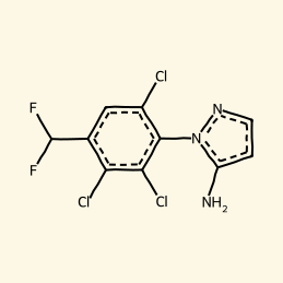 Nc1ccnn1-c1c(Cl)cc(C(F)F)c(Cl)c1Cl